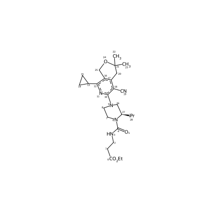 CCOC(=O)CCNC(=O)N1CCN(c2nc(C3CC3)c3c(c2C#N)CC(C)(C)OC3)C[C@H]1C(C)C